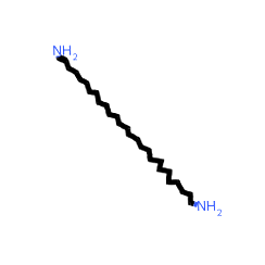 NC=CCCCCCCCCCCCCCCCCCCCCCCCCCN